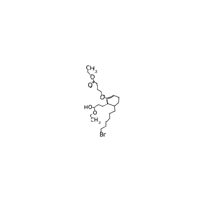 CCOC(=O)CCCOC1=CCCC(CCCCCCBr)C1CCC(O)OCC